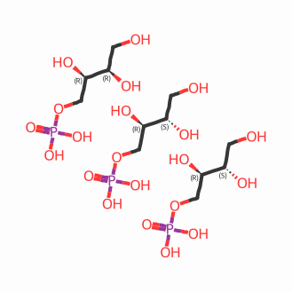 O=P(O)(O)OC[C@@H](O)[C@@H](O)CO.O=P(O)(O)OC[C@@H](O)[C@@H](O)CO.O=P(O)(O)OC[C@@H](O)[C@H](O)CO